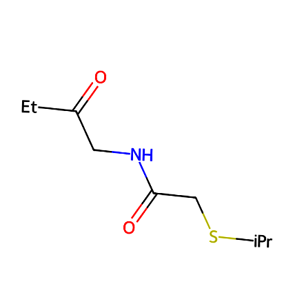 CCC(=O)CNC(=O)CSC(C)C